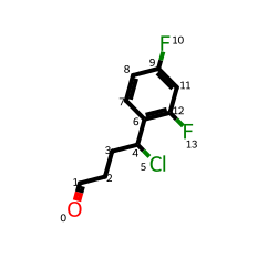 O=CCCC(Cl)c1ccc(F)cc1F